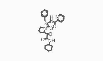 O=C(NC1CCCCC1)C(=O)C1CCCN1C(=O)[C@H](Cc1ccccc1)NC(=O)c1ccccn1